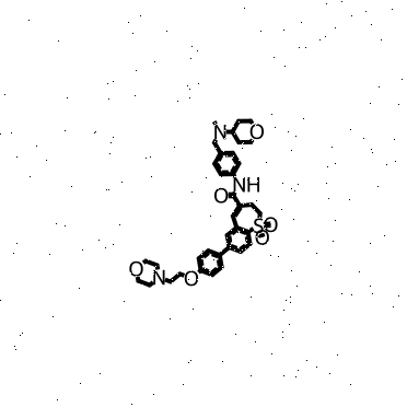 CN(Cc1ccc(NC(=O)C2=Cc3cc(-c4ccc(OCCN5CCOCC5)cc4)ccc3S(=O)(=O)CC2)cc1)C1CCOCC1